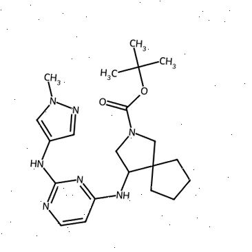 Cn1cc(Nc2nccc(NC3CN(C(=O)OC(C)(C)C)CC34CCCC4)n2)cn1